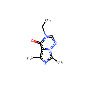 CCn1cnn2c(C)nc(C)c2c1=O